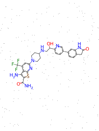 NC(=O)c1sc2nc(N3CCC(NCC(O)c4ccc(-c5ccc6c(c5)NC(=O)C6)cn4)CC3)cc(C(F)(F)F)c2c1N